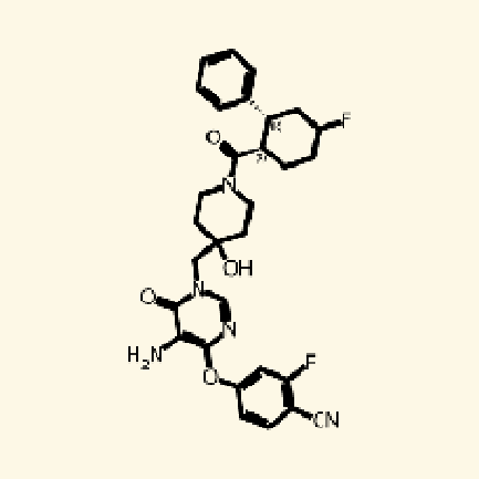 N#Cc1ccc(Oc2ncn(CC3(O)CCN(C(=O)[C@@H]4CCC(F)C[C@H]4c4ccccc4)CC3)c(=O)c2N)cc1F